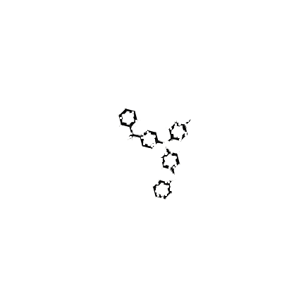 Cc1ccc([SH](c2ccc(Oc3ccccc3)cc2)c2ccc(C(=O)c3ccccc3)cc2)cc1